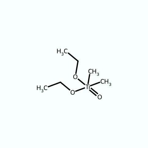 CC[O][Ti]([CH3])([CH3])(=[O])[O]CC